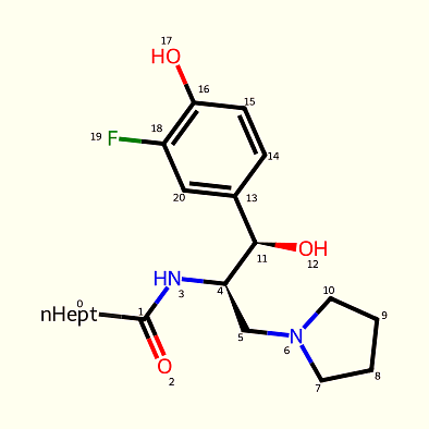 CCCCCCCC(=O)N[C@H](CN1CCCC1)[C@H](O)c1ccc(O)c(F)c1